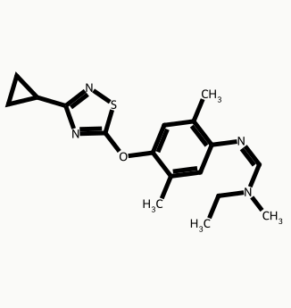 CCN(C)/C=N\c1cc(C)c(Oc2nc(C3CC3)ns2)cc1C